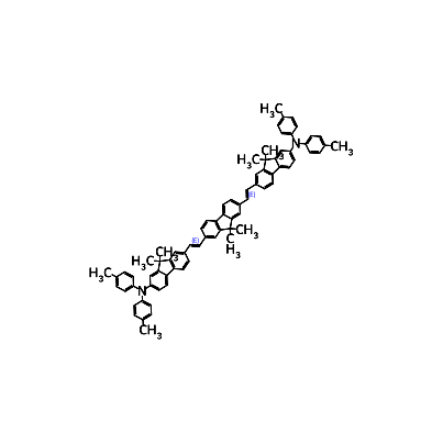 Cc1ccc(N(c2ccc(C)cc2)c2ccc3c(c2)C(C)(C)c2cc(/C=C/c4ccc5c(c4)C(C)(C)c4cc(/C=C/c6ccc7c(c6)C(C)(C)c6cc(N(c8ccc(C)cc8)c8ccc(C)cc8)ccc6-7)ccc4-5)ccc2-3)cc1